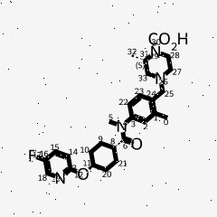 Cc1cc(N(C)C(=O)[C@H]2CC[C@H](Oc3ccc(F)cn3)CC2)ccc1CN1CCN(C(=O)O)[C@@H](C)C1